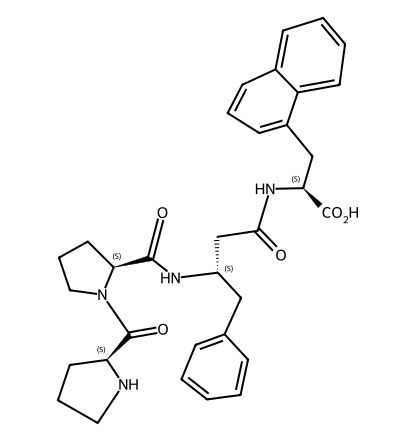 O=C(C[C@H](Cc1ccccc1)NC(=O)[C@@H]1CCCN1C(=O)[C@@H]1CCCN1)N[C@@H](Cc1cccc2ccccc12)C(=O)O